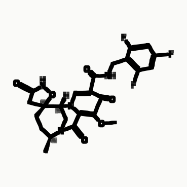 COc1c2n(cc(C(=O)NCc3c(F)cc(F)cc3F)c1=O)[C@@H]1CN(C2=O)[C@@H](C)CC[C@]12CC(=O)NO2